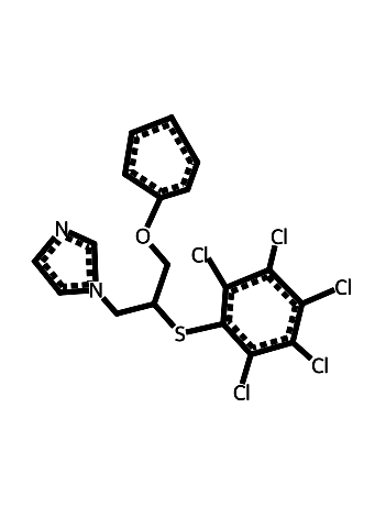 Clc1c(Cl)c(Cl)c(SC(COc2ccccc2)Cn2ccnc2)c(Cl)c1Cl